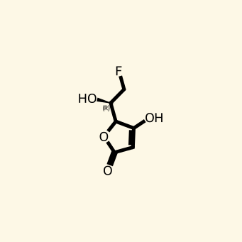 O=C1C=C(O)C([C@@H](O)CF)O1